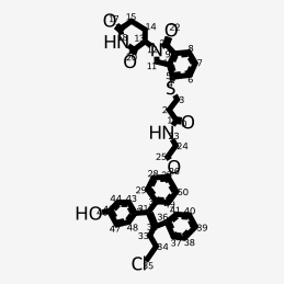 O=C(CCSc1cccc2c1CN(C1CCC(=O)NC1=O)C2=O)NCCOc1ccc(/C(=C(/CCCl)c2ccccc2)c2ccc(O)cc2)cc1